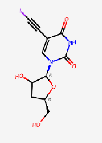 O=c1[nH]c(=O)n([C@H]2O[C@@H](CO)CC2O)cc1C#CI